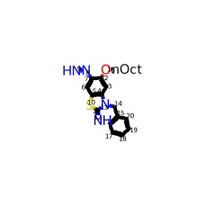 CCCCCCCCOc1cc2c(cc1N=N)sc(=N)n2Cc1ccccc1